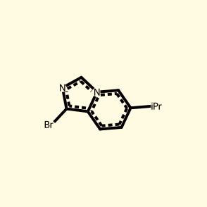 CC(C)c1ccc2c(Br)ncn2c1